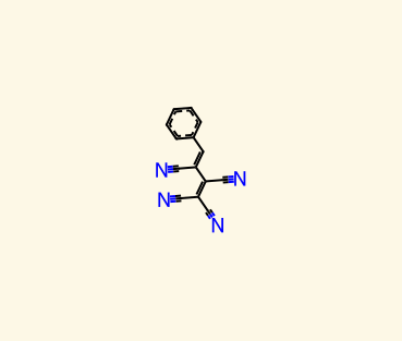 N#CC(=Cc1ccccc1)C(C#N)=C(C#N)C#N